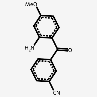 COc1ccc(C(=O)c2cccc(C#N)c2)c(N)c1